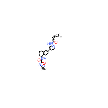 CC(C)(C)c1noc(C(=O)N[C@@H]2CCCCc3cc(-c4ccnc(NC(=O)[C@@H]5C[C@H]5C(F)(F)F)c4)ccc32)n1